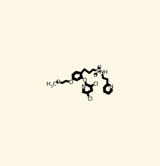 COCCOc1ccc(CCCS(=O)(=O)NCCc2ccccn2)c(Oc2ncc(Cl)cc2Cl)c1